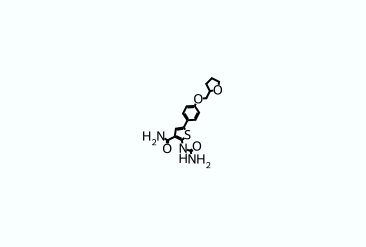 NC(=O)Nc1sc(-c2ccc(OCC3CCCO3)cc2)cc1C(N)=O